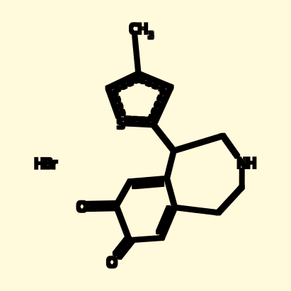 Br.Cc1csc(C2CNCCC3=CC(=O)C(=O)C=C32)c1